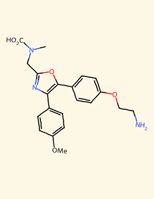 COc1ccc(-c2nc(CN(C)C(=O)O)oc2-c2ccc(OCCN)cc2)cc1